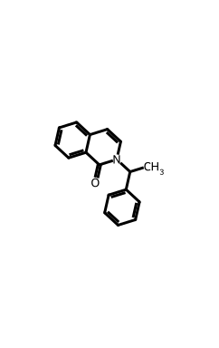 CC(c1ccccc1)n1ccc2ccccc2c1=O